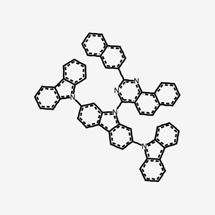 c1ccc2cc(-c3nc(-n4c5cc(-n6c7ccccc7c7ccccc76)ccc5c5ccc(-n6c7ccccc7c7ccccc76)cc54)c4ccc5ccccc5c4n3)ccc2c1